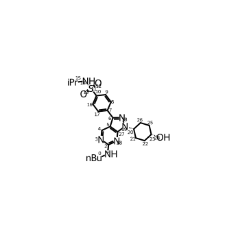 CCCCNc1ncc2c(-c3ccc(S(=O)(=O)NC(C)C)cc3)nn([C@H]3CC[C@@H](O)CC3)c2n1